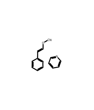 N#CO/C=C/c1ccccc1.c1ccncc1